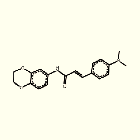 CN(C)c1ccc(/C=C/C(=O)Nc2ccc3c(c2)OCCO3)cc1